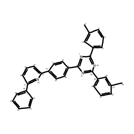 Cc1cccc(-c2nc(-c3ccc(-c4cccc(-c5ccccc5)n4)cc3)nc(-c3cccc(C)c3)n2)c1